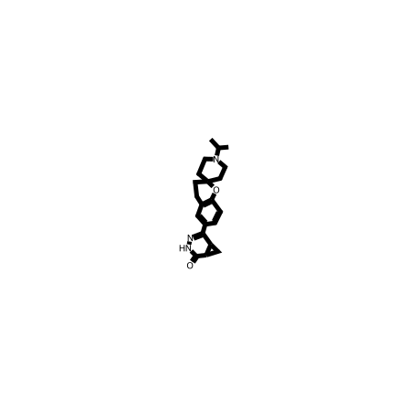 CC(C)N1CCC2(CCc3cc(C4=NNC(=O)C5CC45)ccc3O2)CC1